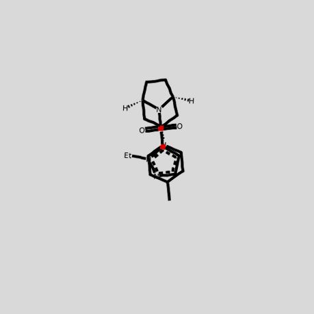 CCn1nccc1S(=O)(=O)N1[C@@H]2CC[C@H]1C[C@H](N1CCC(C)CC1)C2